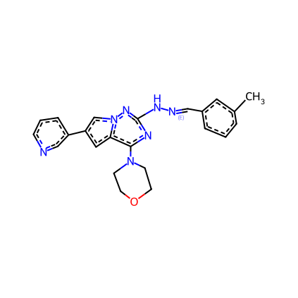 Cc1cccc(/C=N/Nc2nc(N3CCOCC3)c3cc(-c4cccnc4)cn3n2)c1